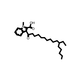 CCCCCC(CC)CCCCCCCCCC(=O)c1c(C(=O)O)n(C)c2ccccc12